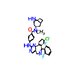 CN(C(=O)c1ccc(Nc2ncc3c(n2)-c2ccc(Cl)cc2C(c2c(F)cccc2F)=NC3)cc1)C1CC2CCC23NC3C1